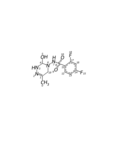 CC1=NNC(O)N(NS(=O)(=O)c2ccc(F)cc2F)C1